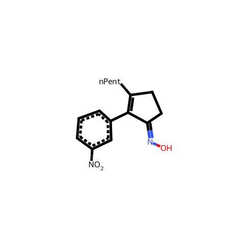 CCCCCC1=C(c2cccc([N+](=O)[O-])c2)C(=NO)CC1